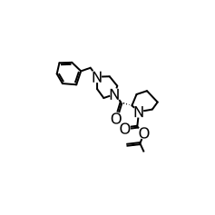 C=C(C)OC(=O)N1CCCC[C@H]1C(=O)N1CCN(Cc2ccccc2)CC1